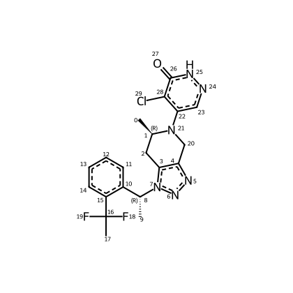 C[C@@H]1Cc2c(nnn2[C@H](C)c2ccccc2C(C)(F)F)CN1c1cn[nH]c(=O)c1Cl